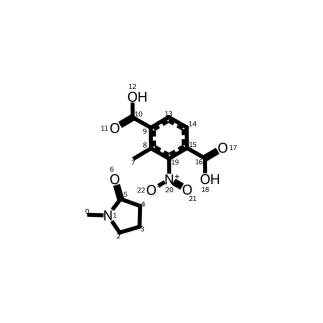 CN1CCCC1=O.Cc1c(C(=O)O)ccc(C(=O)O)c1[N+](=O)[O-]